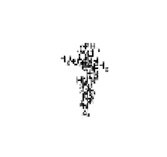 COc1cc(OC)c(Cl)c(NC(=O)N(C)c2cc(Nc3ccc4c(c3)OC[C@@H]3CN(C5CC5)CCN43)ncn2)c1Cl